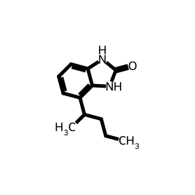 CCCC(C)c1cccc2[nH]c(=O)[nH]c12